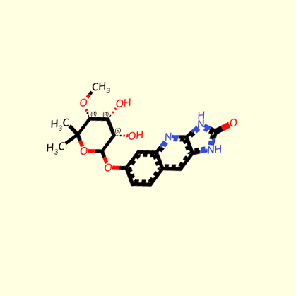 CO[C@@H]1[C@H](O)[C@H](O)C(Oc2ccc3cc4[nH]c(=O)[nH]c4nc3c2)OC1(C)C